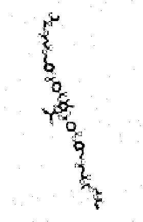 C=CC(=O)OC(C)COCC(C)OC(=O)CCC(=O)OCCc1ccc(OC(=O)[C@H]2CC[C@H](C(=O)Oc3c(C)c(C)c(OC(=O)[C@H]4CC[C@H](C(=O)Oc5ccc(CCOC(=O)CCC(=O)OCC(C)OC(=O)C=C)cc5)CC4)c4c3SC(=C(C#N)C#N)S4)CC2)cc1